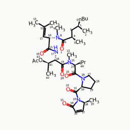 CCCC[C@@H](C)C[C@@H](C)C(=O)N(C)[C@@H](C=C(C)C)C(=O)N[C@H](C(=O)N(C)[C@H](C(=O)N1CCC[C@H]1C(=O)N1C(=O)C=C[C@@H]1C)C(C)C)[C@@H](C)OC(C)=O